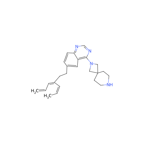 C=C/C=C(\C=C/C)CCc1ccc2ncnc(N3CC4(CCNCC4)C3)c2c1